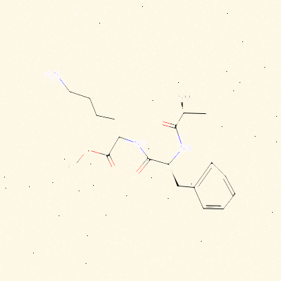 CN[C@@H](C)C(=O)N[C@@H](Cc1ccccc1)C(=O)N[C@@H](CCCCN)C(=O)OC(C)C